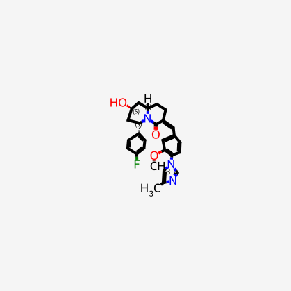 COc1cc(C=C2CC[C@H]3C[C@H](O)C[C@@H](c4ccc(F)cc4)N3C2=O)ccc1-n1cnc(C)c1